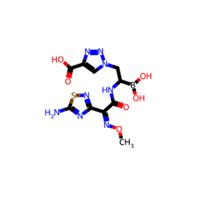 CO/N=C(\C(=O)NC(Cn1cc(C(=O)O)nn1)B(O)O)c1nsc(N)n1